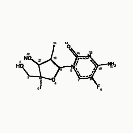 CC1(CO)OC(n2cc(F)c(N)nc2=O)C(F)C1O